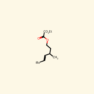 CCOC(=O)C(=O)OCCC(C)C=CC(C)CC